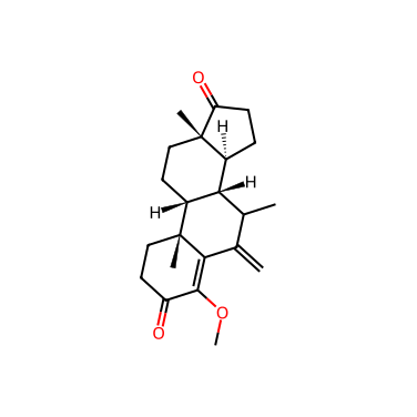 C=C1C2=C(OC)C(=O)CC[C@]2(C)[C@@H]2CC[C@]3(C)C(=O)CC[C@H]3[C@@H]2C1C